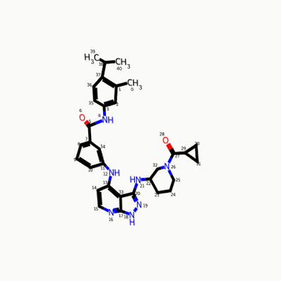 Cc1cc(NC(=O)c2cccc(Nc3ccnc4[nH]nc(NC5CCCN(C(=O)C6CC6)C5)c34)c2)ccc1C(C)C